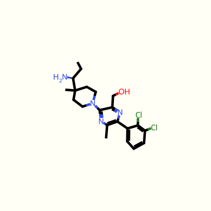 CC[C@H](N)C1(C)CCN(c2nc(C)c(-c3cccc(Cl)c3Cl)nc2CO)CC1